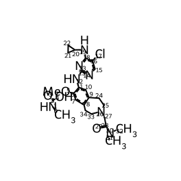 CNC(=O)O.COc1cc2c(cc1Nc1ncc(Cl)c(NC3CC3)n1)CCN(CC(=O)N(C)C)CC2